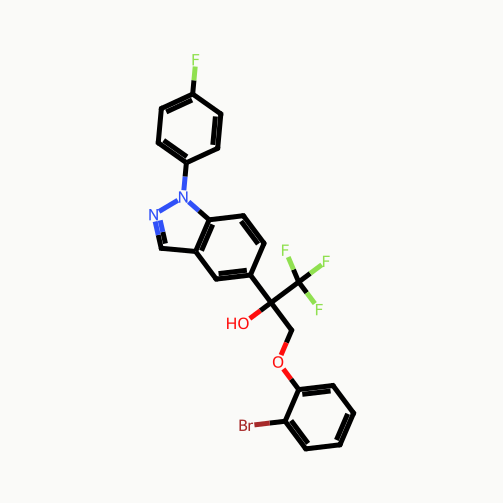 OC(COc1ccccc1Br)(c1ccc2c(cnn2-c2ccc(F)cc2)c1)C(F)(F)F